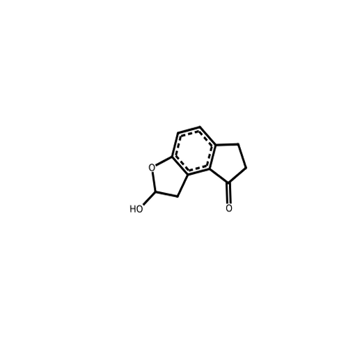 O=C1CCc2ccc3c(c21)CC(O)O3